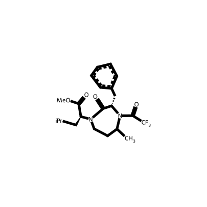 COC(=O)[C@H](CC(C)C)N1CCC(C)N(C(=O)C(F)(F)F)[C@@H](Cc2ccccc2)C1=O